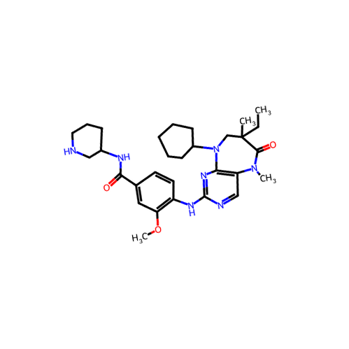 CCC1(C)CN(C2CCCCC2)c2nc(Nc3ccc(C(=O)NC4CCCNC4)cc3OC)ncc2N(C)C1=O